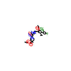 CCOC(=O)C1(C)CCN(C2=NOC3(C2)CN(Cc2cc(C4CC4)c(-c4ccc(F)cc4F)c(F)c2OCC)C3)CC1